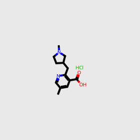 Cc1cnc(CC2CCN(C)C2)c(C(=O)O)c1.Cl